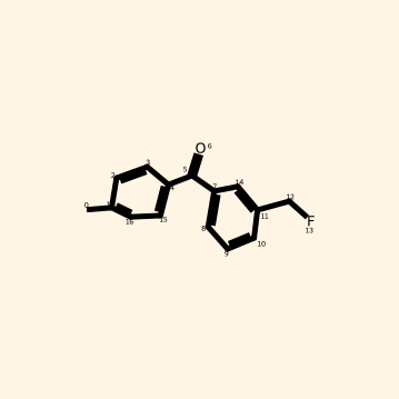 Cc1ccc(C(=O)c2cccc(CF)c2)cc1